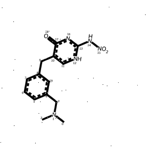 CN(C)Cc1cccc(Cc2c[nH]c(N[N+](=O)[O-])nc2=O)c1